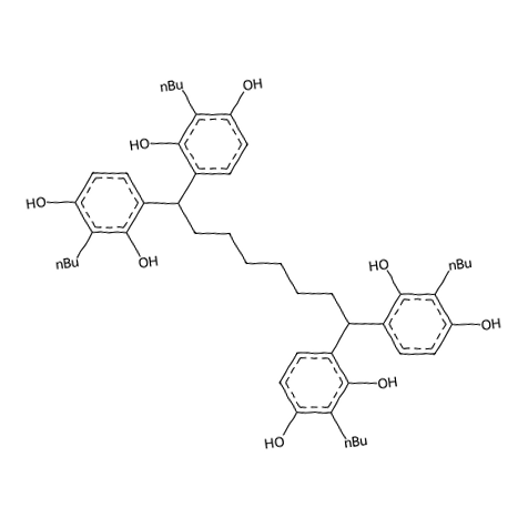 CCCCc1c(O)ccc(C(CCCCCCC(c2ccc(O)c(CCCC)c2O)c2ccc(O)c(CCCC)c2O)c2ccc(O)c(CCCC)c2O)c1O